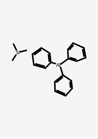 C[Si](C)C.c1cc[c]([Al]([c]2ccccc2)[c]2ccccc2)cc1